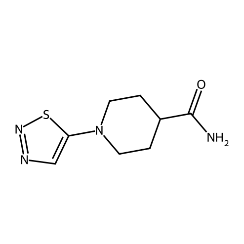 NC(=O)C1CCN(c2cnns2)CC1